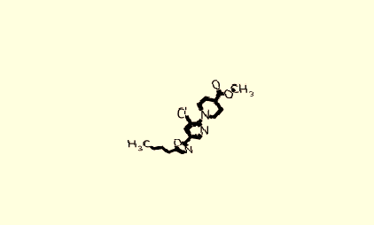 CCCCc1cnc(-c2cnc(N3CCC(C(=O)OC)CC3)c(Cl)c2)o1